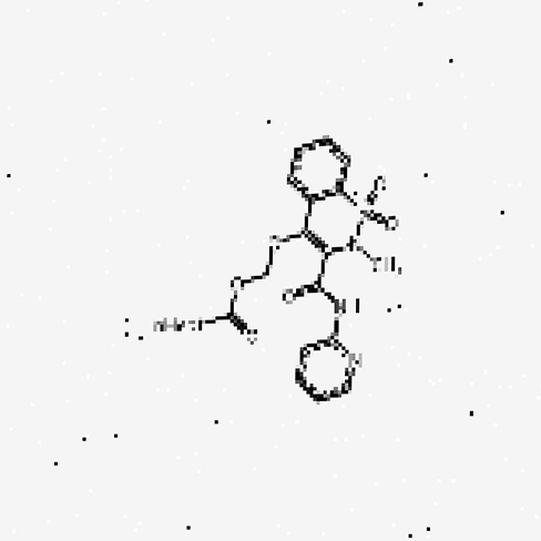 CCCCCCCC(=O)OCOC1=C(C(=O)Nc2ccccn2)N(C)S(=O)(=O)c2ccccc21